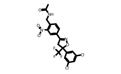 CC(=O)NCc1ccc(C2=NOC(c3cc(Cl)cc(Cl)c3)(C(F)(F)F)C2)cc1[N+](=O)[O-]